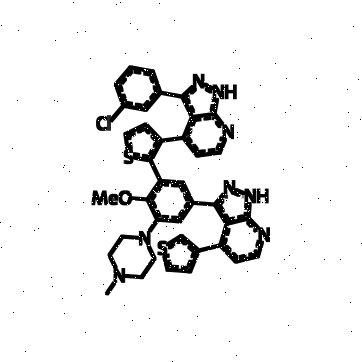 COc1c(-c2sccc2-c2ccnc3[nH]nc(-c4cccc(Cl)c4)c23)cc(-c2n[nH]c3nccc(-c4ccsc4)c23)cc1N1CCN(C)CC1